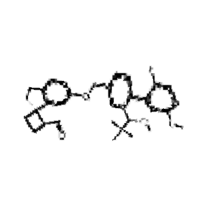 COc1ccc(F)c(-c2ccc(COc3ccc4c(c3)[C@]3(CC4)CC[C@@H]3C=O)cc2[C@H](OC)C(C)(C)C)c1